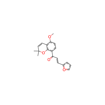 COc1ccc(C(=O)C=Cc2ccco2)c2c1C=CC(C)(C)O2